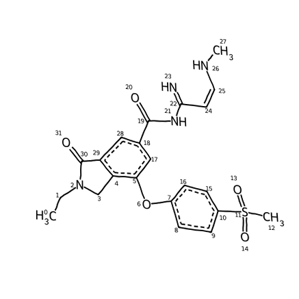 CCN1Cc2c(Oc3ccc(S(C)(=O)=O)cc3)cc(C(=O)NC(=N)/C=C\NC)cc2C1=O